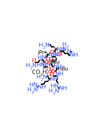 CCCC[C@H](NC(=O)[C@@H](NC(=O)[C@H](CC(=O)O)NC(=O)[C@H](CCC(N)=O)NC(=O)[C@H](CC(C)C)NC(=O)[C@H](CC(C)C)NC(=O)[C@H](CCCN)NC(=O)[C@@H](N)Cc1c[nH]cn1)[C@@H](C)CC)C(=O)N[C@H](CCCNC(=N)N)C(=O)N[C@@H](CCCCNC(=N)N)C(N)=O